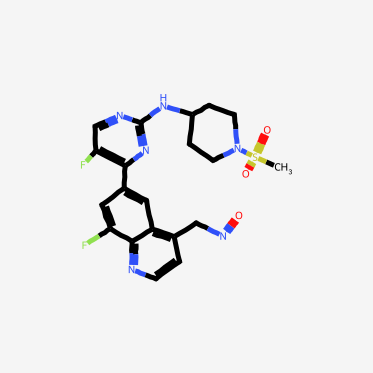 CS(=O)(=O)N1CCC(Nc2ncc(F)c(-c3cc(F)c4nccc(CN=O)c4c3)n2)CC1